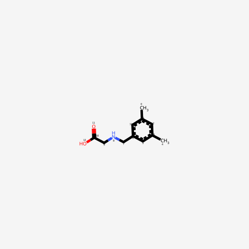 Cc1cc(C)cc(CNCC(=O)O)c1